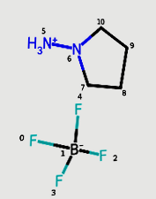 F[B-](F)(F)F.[NH3+]N1CCCC1